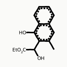 CCOC(=O)C(O)c1c(C)cc2ccccc2c1O